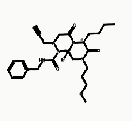 C#CCN1CC(=O)N2[C@@H](CCCC)C(=O)N(CCCOC)C[C@@H]2N1C(=O)NCc1ccccc1